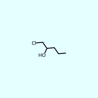 CCCC(O)[CH]Cl